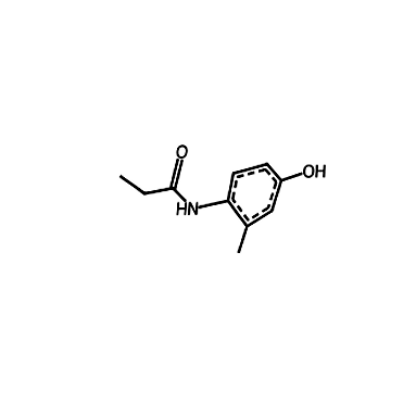 CCC(=O)Nc1ccc(O)cc1C